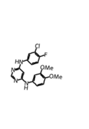 COc1ccc(Nc2cc(Nc3ccc(F)c(Cl)c3)ncn2)cc1OC